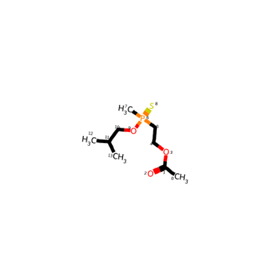 CC(=O)OCCP(C)(=S)OCC(C)C